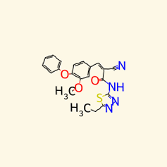 CCc1nnc(NC(=O)C(C#N)=Cc2ccc(Oc3ccccc3)c(OC)c2)s1